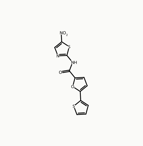 O=C(Nc1ncc([N+](=O)[O-])s1)c1ccc(-c2cccs2)o1